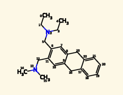 CCN(CC)Cc1cc2c(cc1CN(C)C)Cc1ccccc1C2